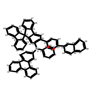 c1ccc(N(c2ccc3c4ccccc4c4ccccc4c3c2)c2cc3c(cc2-c2ccc(-c4ccc5ccccc5c4)cc2)-c2ccccc2C32c3ccccc3-c3ccccc32)cc1